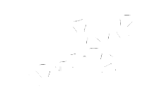 Cc1cc(C)c(-c2cc(\C=C/C=C\C(S)=C\Nc3cc4c(cc3C)C(C)(C)CCC4(C)C)c(-c3ccc4c(c3)C(C)(C)CCC4(C)C)c(C3=CC4=C(CC3)C(C)(C)c3ccccc34)c2)c(C)c1